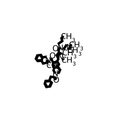 CCCCN(CCN(C)C)C(=O)c1cc(-c2cc3c(cc2C(=O)N2Cc4ccccc4C[C@H]2C)CN(C(=O)Cc2ccccc2)CC3)n(C)c1C